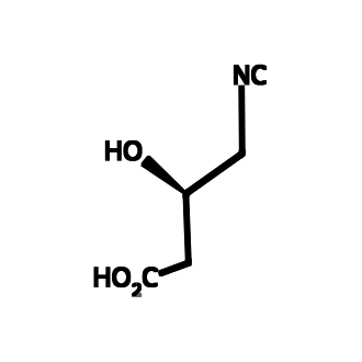 [C-]#[N+]C[C@H](O)CC(=O)O